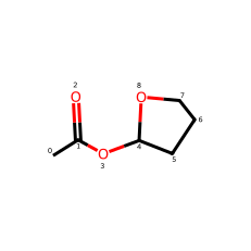 CC(=O)OC1CCCO1